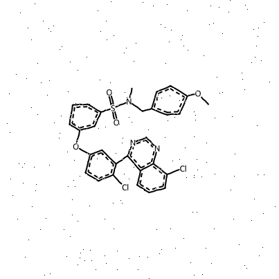 COc1ccc(CN(C)S(=O)(=O)c2cccc(Oc3ccc(Cl)c(-c4ncnc5c(Cl)cccc45)c3)c2)cc1